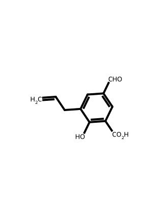 C=CCc1cc(C=O)cc(C(=O)O)c1O